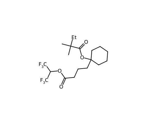 CCC(C)(C)C(=O)OC1(CCCC(=O)OC(C(F)(F)F)C(F)(F)F)CCCCC1